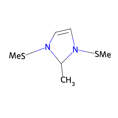 CSN1C=CN(SC)C1C